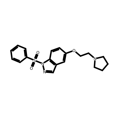 O=S(=O)(c1ccccc1)n1ncc2cc(OCCN3CCCC3)ccc21